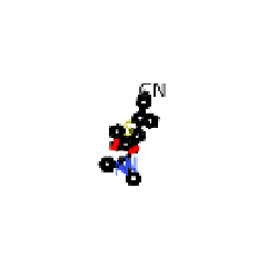 N#Cc1ccc(-c2ccc(-c3cccc4c3Sc3ccccc3C43c4ccccc4-c4c(-c5cc(-c6ccccc6)nc(-c6ccccc6)n5)cccc43)c3ccccc23)cc1